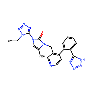 CCCCc1cn(-c2nnnn2CC(C)C)c(=O)n1Cc1cnccc1-c1ccccc1-c1nnn[nH]1